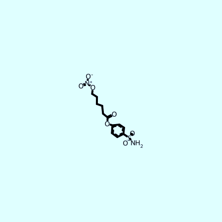 NS(=O)(=O)c1ccc(OC(=O)CCCCCO[N+](=O)[O-])cc1